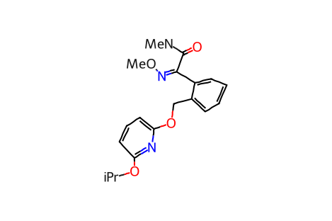 CNC(=O)/C(=N\OC)c1ccccc1COc1cccc(OC(C)C)n1